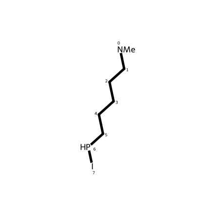 CNCCCCCPI